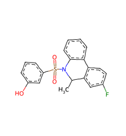 CC1c2cc(F)ccc2-c2ccccc2N1S(=O)(=O)c1cccc(O)c1